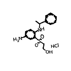 CC(Nc1ccc(N)cc1S(=O)(=O)CCO)c1ccccc1.Cl